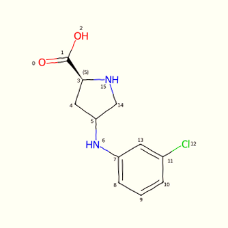 O=C(O)[C@@H]1CC(Nc2cccc(Cl)c2)CN1